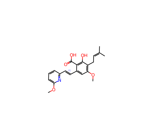 COc1cccc(/C=C/c2cc(OC)c(CC=C(C)C)c(O)c2C(=O)O)n1